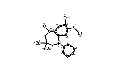 CCCCC1(CCCC)CN(c2ccccc2)c2cc(SCC)c(O)cc2[S+]([O-])C1